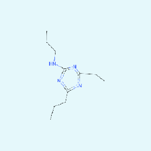 CCCNc1nc(CC)nc(CCC)n1